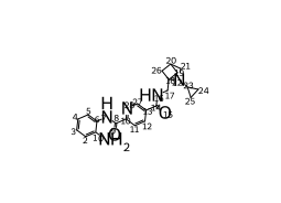 Nc1ccccc1NC(=O)c1ccc(C(=O)NCC23CC(CN2C2CC2)C3)cn1